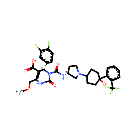 COCC1=C(C(=O)O)[C@H](c2ccc(F)c(F)c2)N(C(=O)N[C@@H]2CCN(C3CCC(O)(c4ccccc4C(F)(F)F)CC3)C2)C(=O)N1